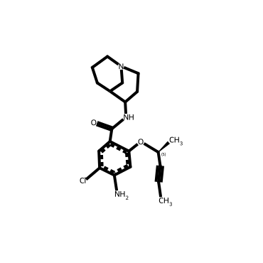 CC#C[C@H](C)Oc1cc(N)c(Cl)cc1C(=O)NC1CCN2CCCC1C2